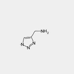 NCC1=C[N]N=N1